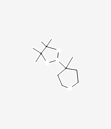 CC1(B2OC(C)(C)C(C)(C)O2)CCOCC1